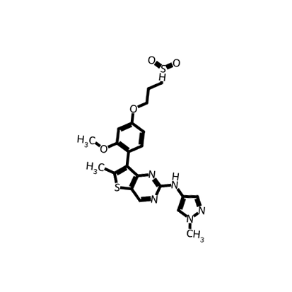 COc1cc(OCCC[SH](=O)=O)ccc1-c1c(C)sc2cnc(Nc3cnn(C)c3)nc12